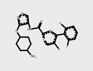 NC1CCC(Oc2sncc2NC(=O)c2ccc(F)c(-c3c(F)cccc3F)n2)CC1